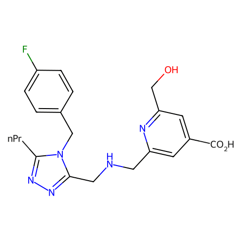 CCCc1nnc(CNCc2cc(C(=O)O)cc(CO)n2)n1Cc1ccc(F)cc1